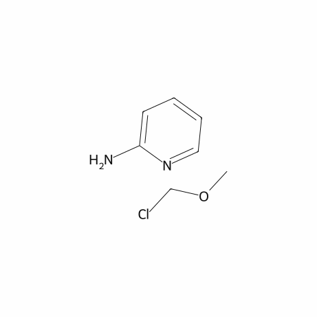 COCCl.Nc1ccccn1